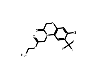 CCOC(=O)CN1C(=O)CSc2cc(Cl)c(C(F)(F)F)cc21